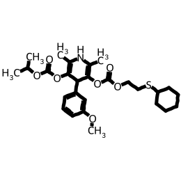 COc1cccc(C2C(OC(=O)OCCSC3CCCCC3)=C(C)NC(C)=C2OC(=O)OC(C)C)c1